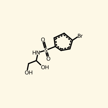 O=S(=O)(NC(O)CO)c1ccc(Br)cc1